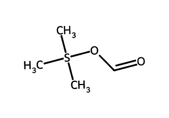 CS(C)(C)OC=O